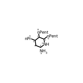 CCCCCC1NCCC(CCC)C1CCCCC.N